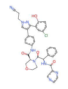 N#CCCn1cc(-c2ccc(NC(=O)[C@@H]3COCCN3C(=O)[C@H](NC(=O)c3cnccn3)c3ccccc3)cc2)c(-c2cc(Cl)ccc2O)n1